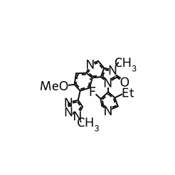 CCc1cncc(F)c1-n1c(=O)n(C)c2cnc3cc(OC)c(-c4cn(C)nn4)cc3c21